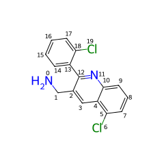 NCc1cc2c(Cl)cccc2nc1-c1ccccc1Cl